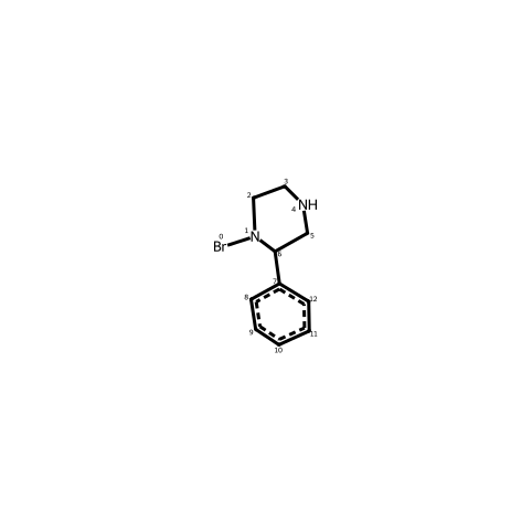 BrN1CCNCC1c1ccccc1